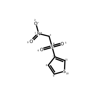 O=[N+]([O-])CS(=O)(=O)c1ccsc1